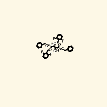 O[C@@H]([C@H](O)[C@@H](COCc1ccccc1)OCc1c(F)cccc1F)[C@@H](COCc1ccccc1)OCc1c(F)cccc1F